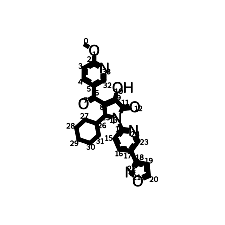 COc1ccc(C(=O)C2=C(O)C(=O)N(c3ccc(-c4ccon4)cn3)C2C2CCCCC2)cn1